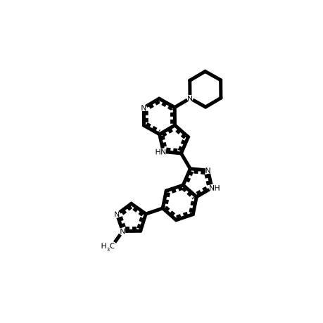 Cn1cc(-c2ccc3[nH]nc(-c4cc5c(N6CCCCC6)cncc5[nH]4)c3c2)cn1